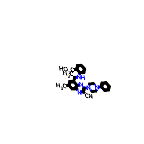 Cc1cc([C@@H](C)Nc2ccccc2C(=O)O)c2nc(N3CCN(c4ccccc4)CC3)c(C#N)nc2c1